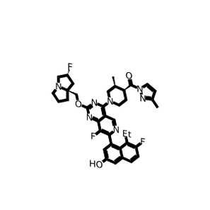 CCc1c(F)ccc2cc(O)cc(-c3ncc4c(N5CC[C@H](C(=O)n6ccc(C)n6)[C@H](C)C5)nc(OC[C@@]56CCCN5C[C@H](F)C6)nc4c3F)c12